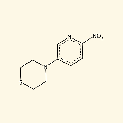 O=[N+]([O-])c1ccc(N2CCSCC2)cn1